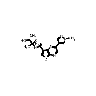 C[C@@H](O)C(C)(C)NC(=O)c1c[nH]c2ncc(-c3cnn(C)c3)nc12